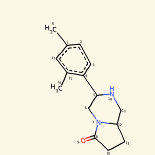 Cc1ccc(C2CN3C(=O)CCC3CN2)c(C)c1